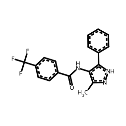 Cc1n[nH]c(-c2ccccc2)c1NC(=O)c1ccc(C(F)(F)F)cc1